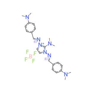 CN(C)c1ccc(/C=N/n2cc[n+](/N=C/c3ccc(N(C)C)cc3)c2N(C)C)cc1.F[B-](F)(F)F